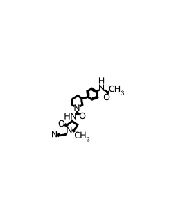 CC(=O)Nc1ccc(C2CCCN(C(=O)NC3CC(C)N(CC#N)C3=O)C2)cc1